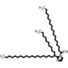 CCCCCCCCCCCCCCCCCCC(CCCCCCCCCC)c1nccn1C(C)CCCCCCCCCCCCCCCCC